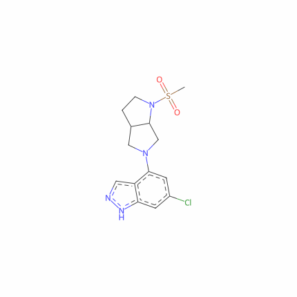 CS(=O)(=O)N1CCC2CN(c3cc(Cl)cc4[nH]ncc34)CC21